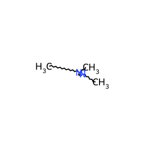 CCCCCCCCCCCCCC[n+]1ccn(CCCCCCC)c1CCC